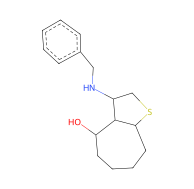 OC1CCCCC2SCC(NCc3ccccc3)C12